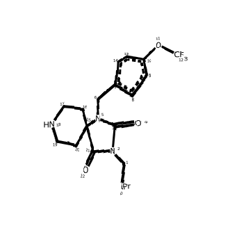 CC(C)CN1C(=O)N(Cc2ccc(OC(F)(F)F)cc2)C2(CCNCC2)C1=O